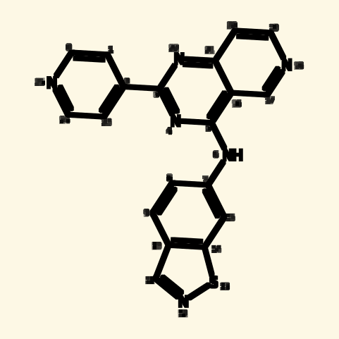 c1cc(-c2nc(Nc3ccc4cnsc4c3)c3cnccc3n2)ccn1